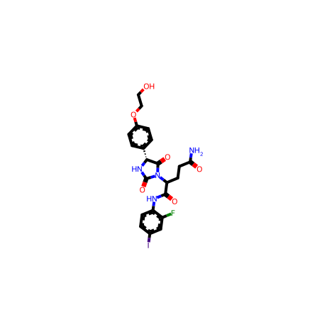 NC(=O)CCC(C(=O)Nc1ccc(I)cc1F)N1C(=O)N[C@H](c2ccc(OCCO)cc2)C1=O